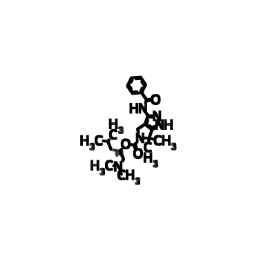 CC(C)C[C@@H](CN(C)C)OC(=O)N1Cc2c(NC(=O)c3ccccc3)n[nH]c2C1(C)C